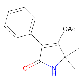 CC(=O)OC1=C(c2ccccc2)C(=O)NC1(C)C